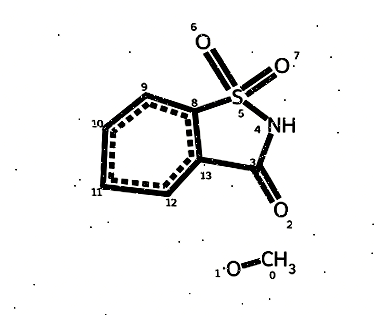 C[O].O=C1NS(=O)(=O)c2ccccc21